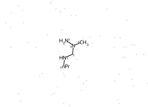 CCCNCN(C)N